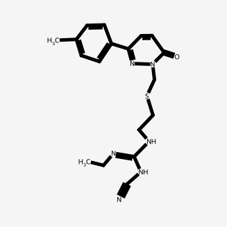 CCN=C(NC#N)NCCSCn1nc(-c2ccc(C)cc2)ccc1=O